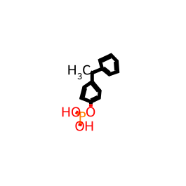 CC(c1ccccc1)c1ccc(OP(O)O)cc1